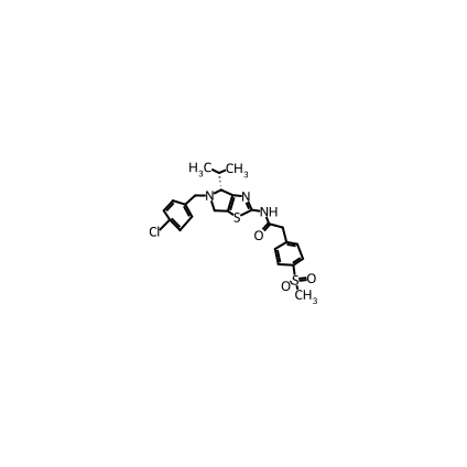 CC(C)[C@@H]1c2nc(NC(=O)Cc3ccc(S(C)(=O)=O)cc3)sc2CN1Cc1ccc(Cl)cc1